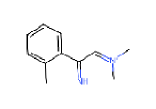 Cc1ccccc1C(=N)C=[N+](C)C